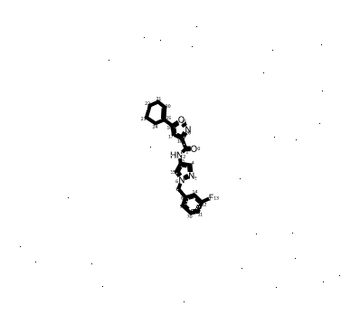 O=C(Nc1cnn(Cc2cccc(F)c2)c1)c1cc(C2=CCCCC2)on1